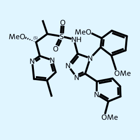 COc1cccc(-c2nnc(NS(=O)(=O)C(C)[C@@H](OC)c3ncc(C)cn3)n2-c2c(OC)cccc2OC)n1